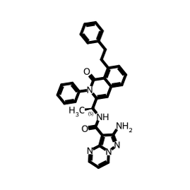 C[C@H](NC(=O)c1c(N)nn2cccnc12)c1cc2cccc(CCc3ccccc3)c2c(=O)n1-c1ccccc1